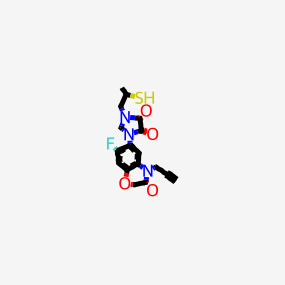 C#CCN1C(=O)COc2cc(F)c(N3CN(CC(C)S)C(=O)C3=O)cc21